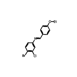 CCOc1ccc(/C=N/c2ccc(Br)c(Cl)c2)cc1